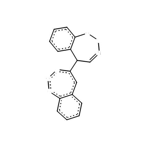 [C]1=NSOc2ccccc2C1c1cc2ccccc2ooo1